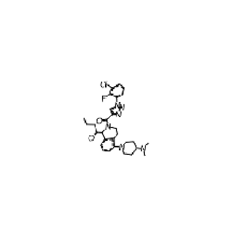 CCCC(=O)C1c2cccc(N3CCC(N(C)C)CC3)c2CCN1C(=O)c1cn(-c2cccc(Cl)c2F)nn1